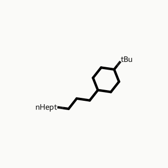 [CH2]CCCCCCCCCC1CCC(C(C)(C)C)CC1